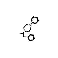 CC(Cc1ccccc1)N1CCN(c2ccccc2)CC1